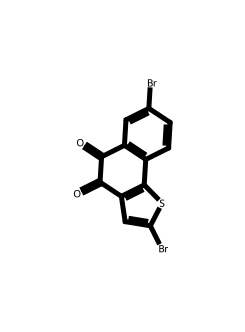 O=C1C(=O)c2cc(Br)sc2-c2ccc(Br)cc21